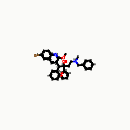 COc1nc2ccc(Br)cc2cc1C(c1ccccc1)C(O)(CCN(C)Cc1ccccc1)c1ccco1